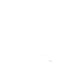 Oc1cc(C(F)(F)F)ccc1-c1cn(C23CC(C2)C3)cn1